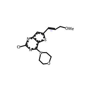 COC/C=C/c1cc2nc(Cl)nc(N3CCOCC3)c2s1